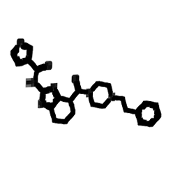 O=C(Nc1nc2c(s1)CCCC2C(=O)N1CCN(CCc2ccccc2)CC1)c1ccoc1